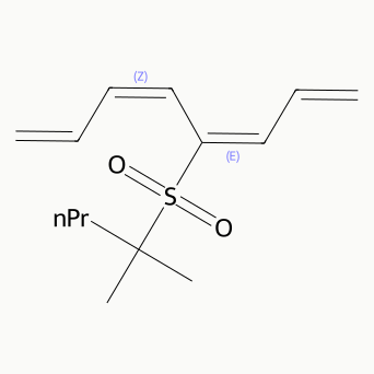 C=C/C=C\C(=C/C=C)S(=O)(=O)C(C)(C)CCC